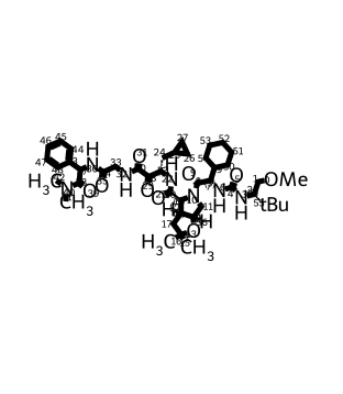 COC[C@@H](NC(=O)N[C@H](C(=O)N1C[C@@H]2OC(C)(C)C[C@@H]2[C@H]1C(=O)N[C@@H](CC1CC1)C(=O)C(=O)NCC(=O)NC(C(=O)N(C)C)c1ccccc1)C1CCCCC1)C(C)(C)C